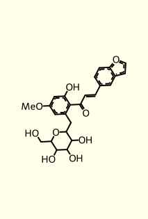 COc1cc(O)c(C(=O)/C=C/c2ccc3occc3c2)c(CC2OC(CO)C(O)C(O)C2O)c1